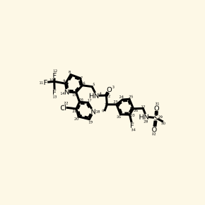 CC(C(=O)NCc1ccc(C(F)(F)F)nc1-c1cnccc1Cl)c1ccc(CNS(C)(=O)=O)c(F)c1